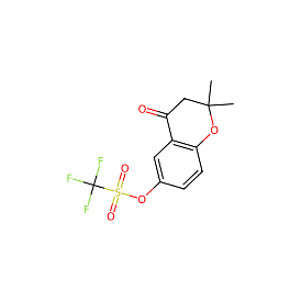 CC1(C)CC(=O)c2cc(OS(=O)(=O)C(F)(F)F)ccc2O1